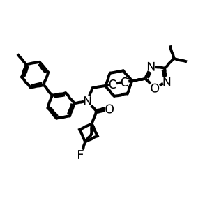 Cc1ccc(-c2cccc(N(CC34CCC(c5nc(C(C)C)no5)(CC3)CC4)C(=O)C34CC(F)(C3)C4)c2)cc1